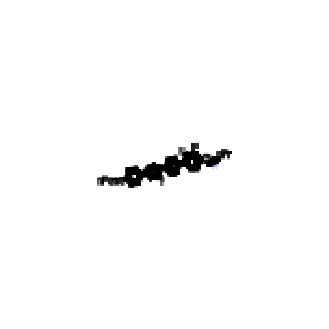 CCC/C=C\Oc1ccc(-c2ccc(-c3ccc(C4CCC(CCCCC)CC4)cc3F)cc2)c(F)c1F